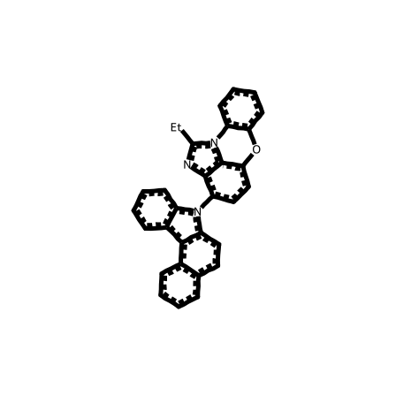 CCc1nc2c(-n3c4ccccc4c4c5ccccc5ccc43)ccc3c2n1-c1ccccc1O3